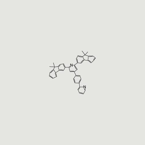 CC1(C)c2ccccc2-c2cc(-c3cc(-c4ccc(-c5ccccn5)cc4)cc(-c4ccc5c(c4)-c4ccccc4C5(C)C)n3)ccc21